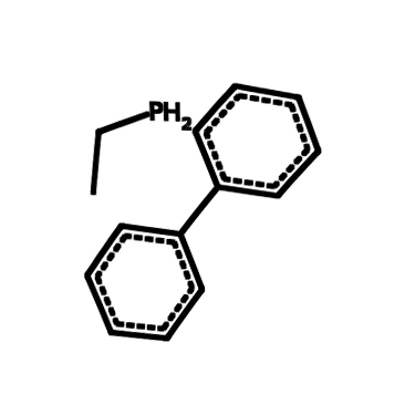 CCP.c1ccc(-c2ccccc2)cc1